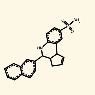 NS(=O)(=O)c1ccc2c(c1)C1C=CCC1C(c1ccc3ccccc3c1)N2